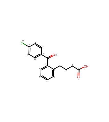 O=C(O)CCCc1ccccc1C(=O)c1ccc(Cl)cc1